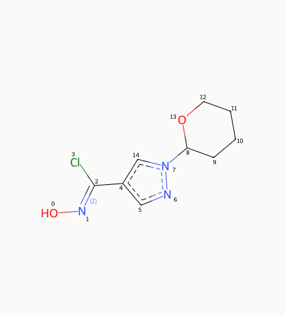 O/N=C(\Cl)c1cnn(C2CCCCO2)c1